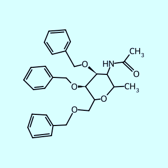 CC(=O)NC1C(C)OC(COCc2ccccc2)[C@@H](OCc2ccccc2)[C@H]1OCc1ccccc1